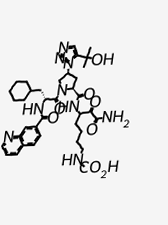 CC(C)(O)c1cnnn1[C@H]1C[C@@H](C(=O)NC(CCCCNC(=O)O)C(=O)C(N)=O)N(C(=O)[C@@H](CC2CCCCC2)NC(=O)c2ccc3cccnc3c2)C1